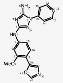 COc1cc(Nc2nc(N)n(-c3ccncc3)n2)ccc1-c1cnco1